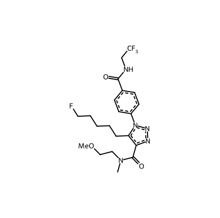 COCCN(C)C(=O)c1nnn(-c2ccc(C(=O)NCC(F)(F)F)cc2)c1CCCCCF